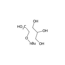 CCCCOCC(=O)O.OCC(O)CO